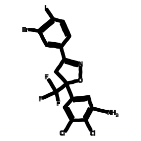 Nc1cc(C2(C(F)(F)F)CC(c3ccc(I)c(Br)c3)=NO2)cc(Cl)c1Cl